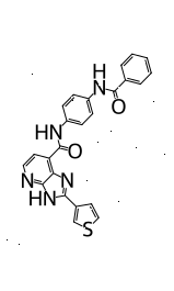 O=C(Nc1ccc(NC(=O)c2ccnc3[nH]c(-c4ccsc4)nc23)cc1)c1ccccc1